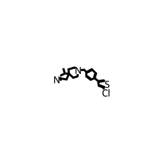 CC(C)C1(CC#N)CCN(Cc2ccc(-c3csc(Cl)c3)cc2)CC1